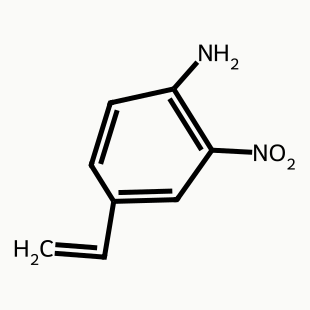 C=Cc1ccc(N)c([N+](=O)[O-])c1